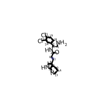 NC[C@@H](NC(=O)/C=C/c1c[nH]c2ncccc12)c1ccc(Cl)c(Cl)c1